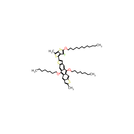 CCCCCCCCCCCCOc1sc2c(C)sc(-c3cc4cc5c(OCCCCCCCC)c6cc7sc(C)cc7cc6c(OCCCCCCCC)c5cc4s3)c2c1F